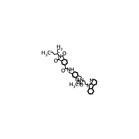 CCCC(C)N1C(=O)c2ccc(C(=O)NCc3ccc(CN(CCn4c5ccccc5c5cccnc54)S(C)(=O)=O)cc3)cc2C1=O